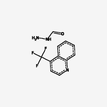 FC(F)(F)c1ccnc2ccccc12.NNC=O